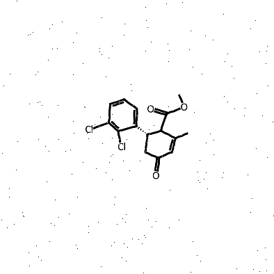 COC(=O)C1C(C)=CC(=O)C[C@@H]1c1cccc(Cl)c1Cl